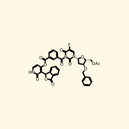 CC(=O)OC[C@H]1O[C@@H](n2cc(F)c(=O)n(C(=O)c3cccc(C(=O)Oc4cc[nH]c(=O)c4C4OC(=O)c5ccccc54)c3)c2=O)C[C@@H]1OCc1ccccc1